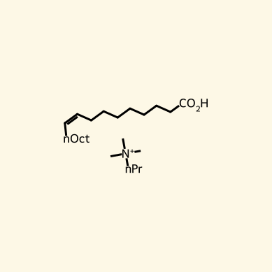 CCCCCCCC/C=C\CCCCCCCC(=O)O.CCC[N+](C)(C)C